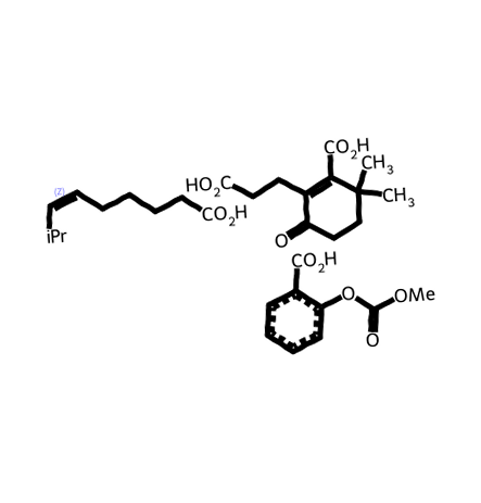 CC(C)/C=C\CCCCC(=O)O.CC1(C)CCC(=O)C(CCC(=O)O)=C1C(=O)O.COC(=O)Oc1ccccc1C(=O)O